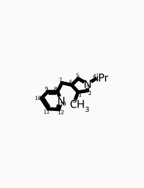 CC1CN(C(C)C)CC1Cc1ccccn1